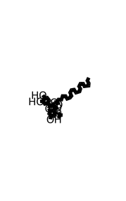 CC/C=C\C/C=C\C/C=C\C/C=C\C/C=C\C/C=C\CCC(=O)Oc1c(-c2ccc(O)c(O)c2)oc2cc(O)cc(OC(C)C)c2c1=O